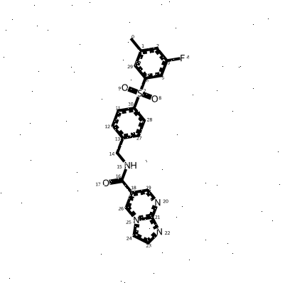 Cc1cc(F)cc(S(=O)(=O)c2ccc(CNC(=O)c3cnc4nccn4c3)cc2)c1